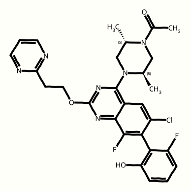 CC(=O)N1C[C@@H](C)N(c2nc(OCCc3ncccn3)nc3c(F)c(-c4c(O)cccc4F)c(Cl)cc23)C[C@@H]1C